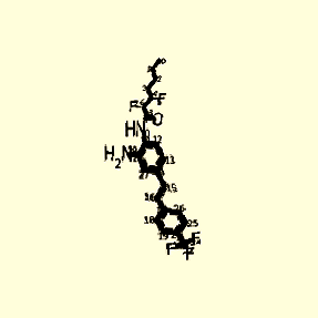 CCCC[C@@H](F)[C@@H](F)C(=O)Nc1ccc(CCc2ccc(C(F)(F)F)cc2)cc1N